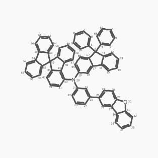 c1ccc(C2(c3ccccc3)c3ccccc3-c3cc(N(c4cccc(-c5ccc6oc7ccccc7c6c5)c4)c4cccc5c4-c4ccccc4C54c5ccccc5-c5ccccc54)ccc32)cc1